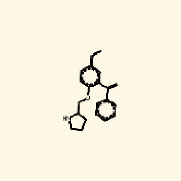 C=C(c1ccccc1)c1cc(CC)ccc1OCC1CCCN1